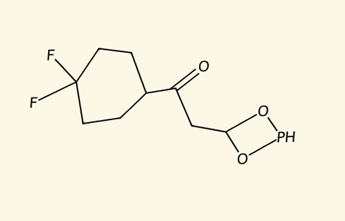 O=C(CC1OPO1)C1CCC(F)(F)CC1